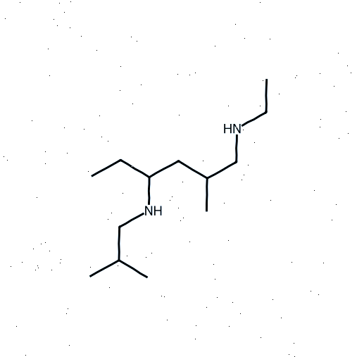 CCNCC(C)CC(CC)NCC(C)C